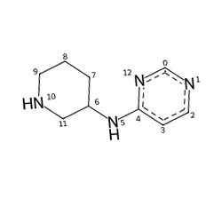 [c]1nccc(NC2CCCNC2)n1